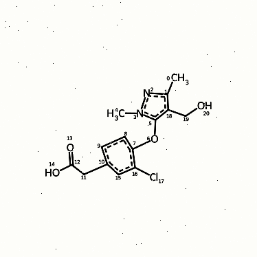 Cc1nn(C)c(Oc2ccc(CC(=O)O)cc2Cl)c1CO